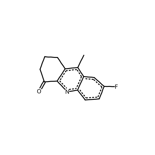 Cc1c2c(nc3ccc(F)cc13)C(=O)CCC2